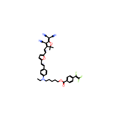 CCN(CCCCCOC(=O)c1ccc(C(F)=C(F)F)cc1)c1ccc(/C=C/c2ccc(/C=C/C3=C(C#N)C(=C(C#N)C#N)OC3(C)C)o2)cc1